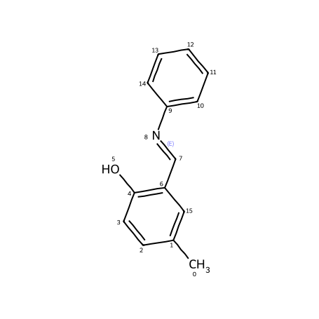 Cc1ccc(O)c(/C=N/c2ccccc2)c1